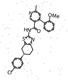 COc1ccccc1-c1cc(C)ncc1C(=O)Nc1nc2c(s1)C[C@H](c1ccc(Cl)cc1)CC2